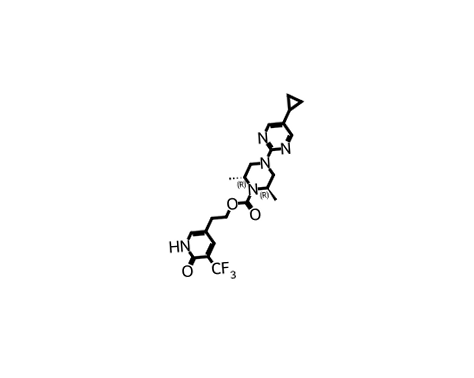 C[C@@H]1CN(c2ncc(C3CC3)cn2)C[C@@H](C)N1C(=O)OCCc1c[nH]c(=O)c(C(F)(F)F)c1